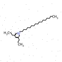 CCCCCCCCCCCCCCCCCC[n+]1cc(CCC)cc(CCC)c1